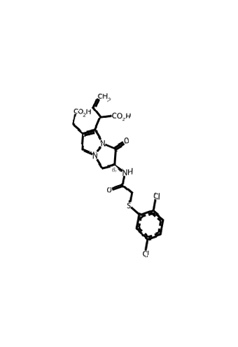 C=CC(C(=O)O)C1=C(CC(=O)O)CN2C[C@H](NC(=O)CSc3cc(Cl)ccc3Cl)C(=O)N12